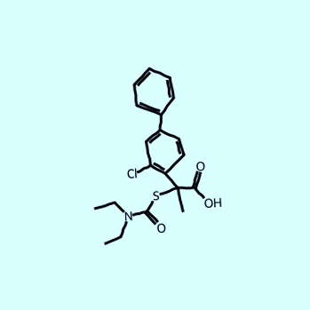 CCN(CC)C(=O)SC(C)(C(=O)O)c1ccc(-c2ccccc2)cc1Cl